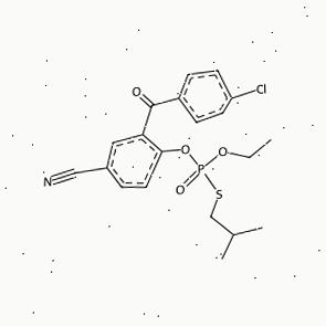 CCOP(=O)(Oc1ccc(C#N)cc1C(=O)c1ccc(Cl)cc1)SCC(C)C